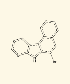 Brc1cc2ccccc2c2c1[nH]c1ncccc12